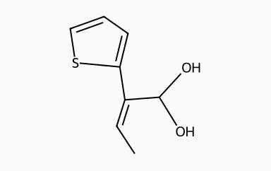 CC=C(c1cccs1)C(O)O